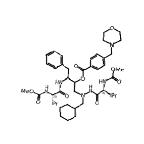 COC(=O)N[C@H](C(=O)NC(Cc1ccccc1)C(CN(CC1CCCCC1)NC(=O)[C@@H](NC(=O)OC)C(C)C)OC(=O)c1ccc(CN2CCOCC2)cc1)C(C)C